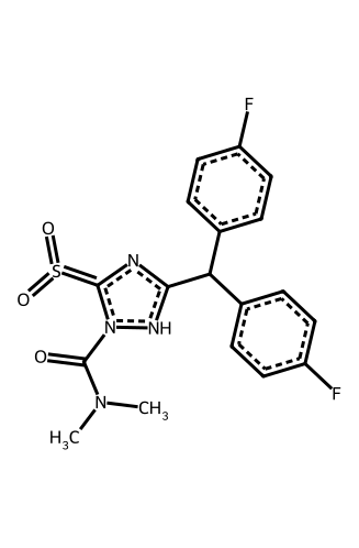 CN(C)C(=O)n1[nH]c(C(c2ccc(F)cc2)c2ccc(F)cc2)nc1=S(=O)=O